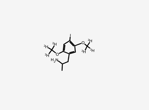 [2H]C([2H])([2H])Oc1cc(CC(C)N)c(OC([2H])([2H])[2H])cc1I